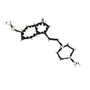 CN1CCN(CCc2c[nH]c3cc(OC(F)(F)F)ccc23)CC1